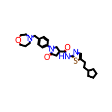 O=C(Nc1ncc(CCC2CCCC2)s1)C1CC(=O)N(c2ccc(CN3CCCOCC3)cc2)C1